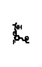 CCC(=O)CCc1cc(F)cc(OCCNC(C)C)c1